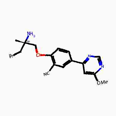 COc1cc(-c2ccc(OC[C@@](C)(N)CC(C)C)c(C#N)c2)ncn1